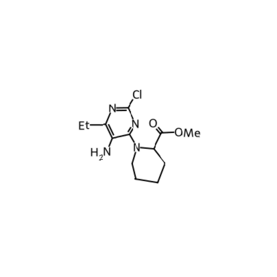 CCc1nc(Cl)nc(N2CCCCC2C(=O)OC)c1N